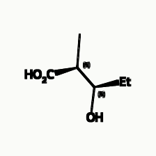 CC[C@@H](O)[C@H](C)C(=O)O